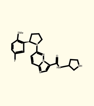 CSc1ccc(F)cc1[C@H]1CCCN1c1ccc2ncc(C(=O)NC3CCNC3)n2n1